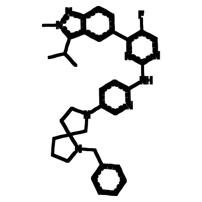 CC(C)c1c2cc(-c3nc(Nc4ccc(N5CCC6(CCCN6Cc6ccccc6)C5)cn4)ncc3F)ccc2nn1C